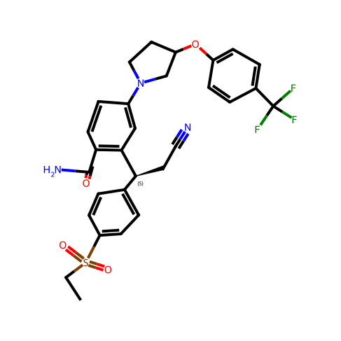 CCS(=O)(=O)c1ccc([C@H](CC#N)c2cc(N3CCC(Oc4ccc(C(F)(F)F)cc4)C3)ccc2C(N)=O)cc1